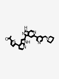 CC(=O)c1ccc(-c2ccnc3[nH]c(-c4n[nH]c5cnc(-c6cncc(CN7CCCCC7)c6)cc45)cc23)s1